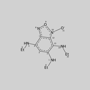 CCNc1cc(NCC)c2no[n+]([O-])c2c1NCC